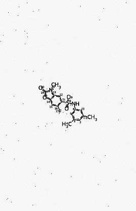 Cc1cc(C)cc(NS(=O)(=O)c2cc3c(cc2F)oc(=O)n3C)c1